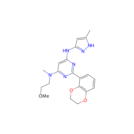 COCCN(C)c1cc(Nc2cc(C)[nH]n2)nc(-c2cccc3c2OCCO3)n1